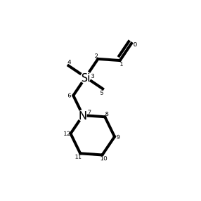 C=CC[Si](C)(C)CN1CCCCC1